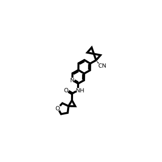 N#C[C@@]1(c2ccc3cnc(NC(=O)C4CC45CCOC5)cc3c2)CC12CC2